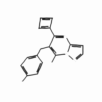 Oc1c(Cc2ccc(Cl)cc2)c(C2=CC=C2)nc2ccnn12